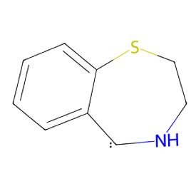 [C]1NCCSc2ccccc21